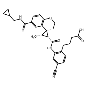 C[C@H]1[C@@H](C(=O)Nc2cc(C#N)ccc2CCCC(=O)O)[C@@]12CCOc1ccc(C(=O)NCC3CC3)cc12